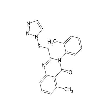 Cc1ccccc1-n1c(CSn2ccnn2)nc2cccc(C)c2c1=O